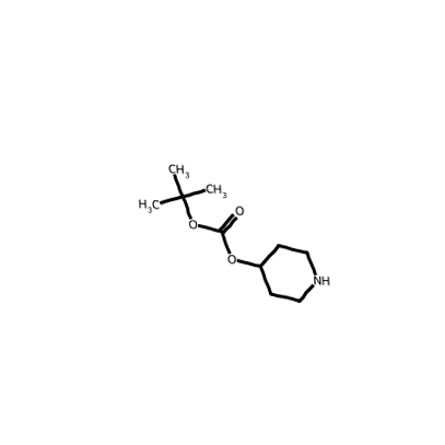 CC(C)(C)OC(=O)OC1CCNCC1